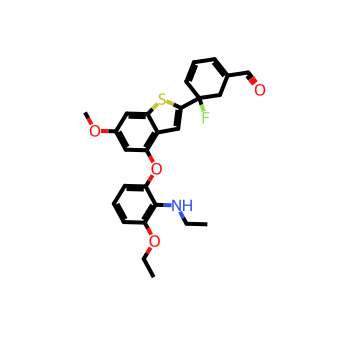 CCNc1c(OCC)cccc1Oc1cc(OC)cc2sc(C3(F)C=CC=C(C=O)C3)cc12